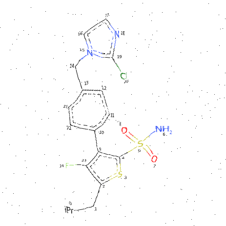 CC(C)Cc1sc(S(N)(=O)=O)c(-c2ccc(Cn3ccnc3Cl)cc2)c1F